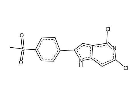 CS(=O)(=O)c1ccc(-c2cc3c(Cl)nc(Cl)cc3[nH]2)cc1